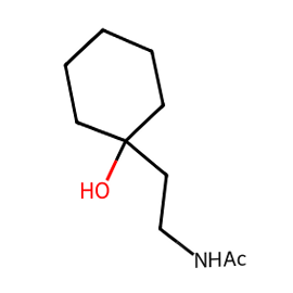 CC(=O)NCCC1(O)CCCCC1